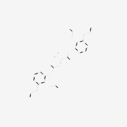 C=CCc1cccc(OC(=O)CC(C(=O)Oc2cccc(CC=C)c2CC=C)S(=O)(=O)O)c1CC=C